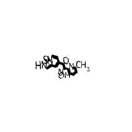 Cc1cccc(C(=NO)C(=O)C2=CC3=CNSN3C=C2)n1